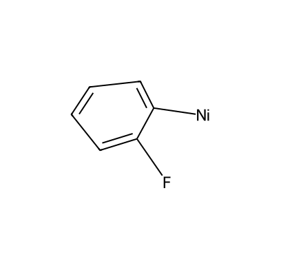 Fc1cccc[c]1[Ni]